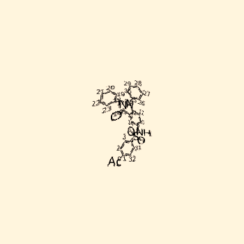 CC(=O)c1ccc(S(=O)(=O)Nc2ccc3c(c2)c(=O)n(-c2ccccc2)n3-c2ccccc2)cc1